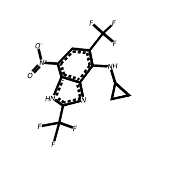 O=[N+]([O-])c1cc(C(F)(F)F)c(NC2CC2)c2nc(C(F)(F)F)[nH]c12